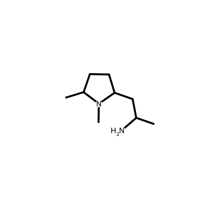 CC(N)CC1CCC(C)N1C